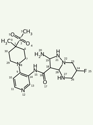 CC1(S(C)(=O)=O)CCN(c2ccncc2NC(=O)C2C(N)NN3CC(F)CNC23)CC1